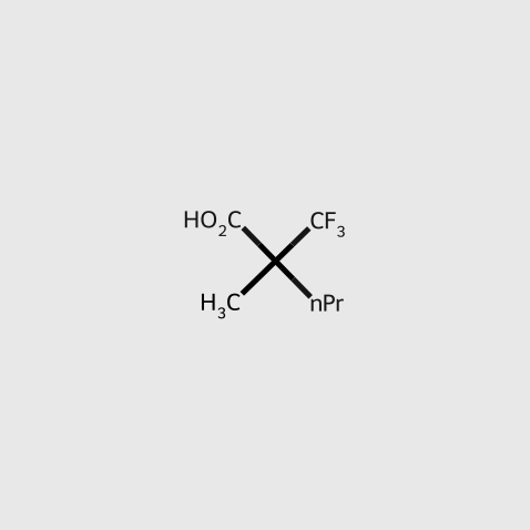 CCCC(C)(C(=O)O)C(F)(F)F